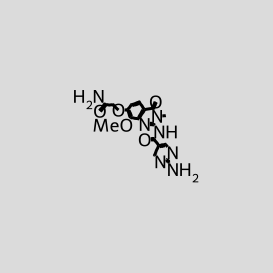 COc1c(OCC(N)=O)ccc2c(=O)n(C)c(NC(=O)c3cnc(N)nc3)nc12